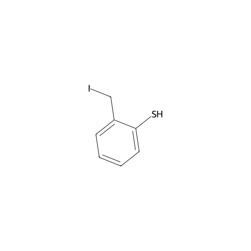 Sc1ccccc1CI